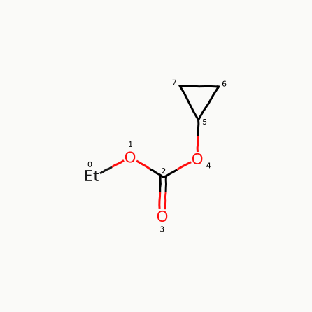 [CH2]COC(=O)OC1CC1